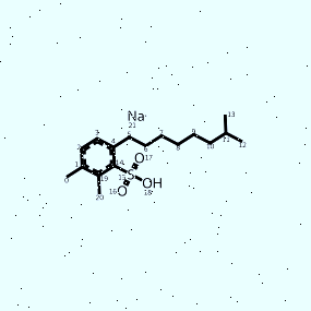 Cc1ccc(CCCCCCC(C)C)c(S(=O)(=O)O)c1C.[Na]